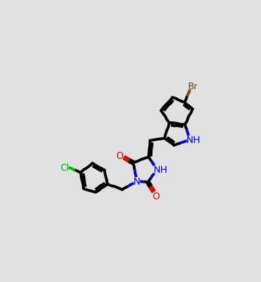 O=C1NC(=Cc2c[nH]c3cc(Br)ccc23)C(=O)N1Cc1ccc(Cl)cc1